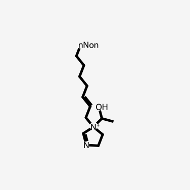 CCCCCCCCCCCCCC=CC[N+]1(C(C)O)C=NCC1